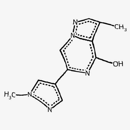 Cc1cnn2cc(-c3cnn(C)c3)nc(O)c12